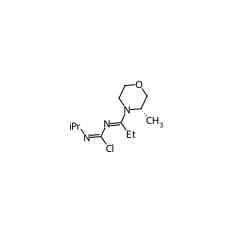 CC/C(=N\C(Cl)=N/C(C)C)N1CCOC[C@@H]1C